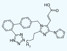 CCCc1nc(-n2cccc2)c(/C=C/C(=O)O)n1Cc1ccc(-c2ccccc2-c2nnn[nH]2)cc1